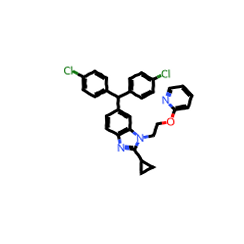 Clc1ccc(C(c2ccc(Cl)cc2)c2ccc3nc(C4CC4)n(CCOc4ccccn4)c3c2)cc1